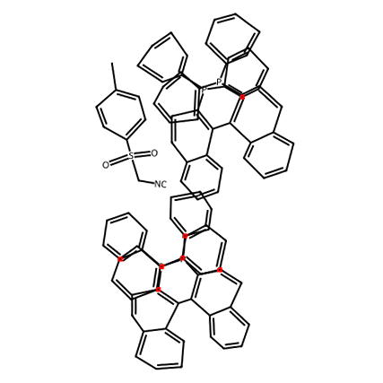 [C-]#[N+]CS(=O)(=O)c1ccc(C)cc1.c1ccc(P(c2ccccc2)c2ccc3ccccc3c2-c2c(P(c3ccccc3)c3ccccc3)ccc3ccccc23)cc1.c1ccc(P(c2ccccc2)c2ccc3ccccc3c2-c2c(P(c3ccccc3)c3ccccc3)ccc3ccccc23)cc1